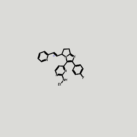 CCNc1nccc(-c2c(-c3ccc(F)cc3)nc3n2C(/C=C/c2ccccn2)CC3)n1